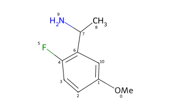 COc1ccc(F)c(C(C)N)c1